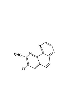 O=Cc1nc2c(ccc3cccnc32)cc1Cl